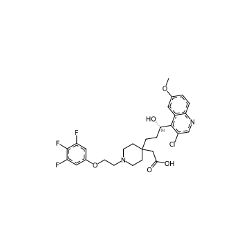 COc1ccc2ncc(Cl)c([C@@H](O)CCC3(CC(=O)O)CCN(CCOc4cc(F)c(F)c(F)c4)CC3)c2c1